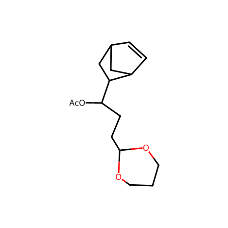 CC(=O)OC(CCC1OCCCO1)C1CC2C=CC1C2